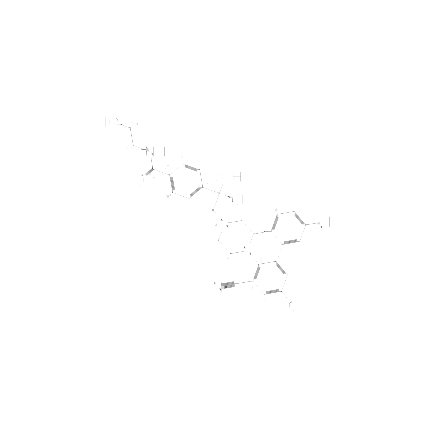 C[C@@](O)(CN1CCN(c2ccc(Cl)cc2C#N)C(c2ccc(Cl)cc2)C1)c1ccc(C(=O)NCCO)cc1